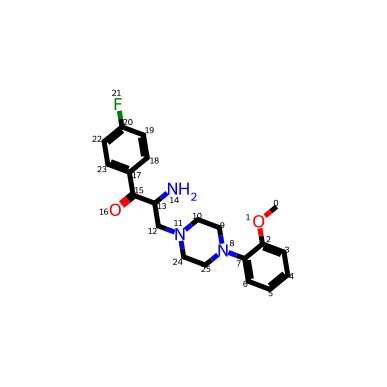 COc1ccccc1N1CCN(CC(N)C(=O)c2ccc(F)cc2)CC1